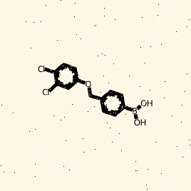 OB(O)c1ccc(COc2ccc(Cl)c(Cl)c2)cc1